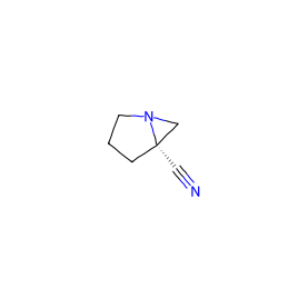 N#C[C@]12CCCN1C2